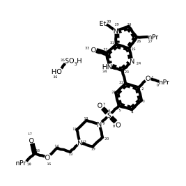 CCCOc1ccc(S(=O)(=O)N2CCN(CCOC(=O)CCC)CC2)cc1-c1nc2c(CCC)cn(CC)c2c(=O)[nH]1.O=S(=O)(O)O